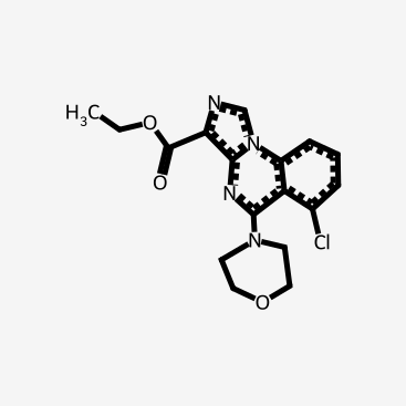 CCOC(=O)c1ncn2c1nc(N1CCOCC1)c1c(Cl)cccc12